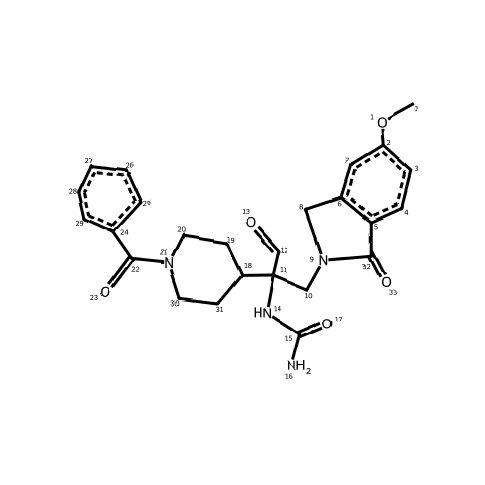 COc1ccc2c(c1)CN(CC(C=O)(NC(N)=O)C1CCN(C(=O)c3ccccc3)CC1)C2=O